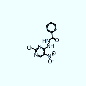 O=C(NNc1nc(Cl)ncc1[N+](=O)[O-])c1ccccc1